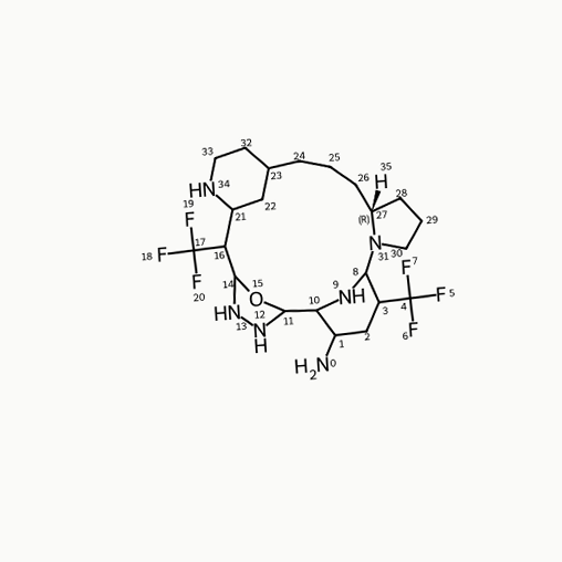 NC1CC(C(F)(F)F)C2NC1C1NNC(O1)C(C(F)(F)F)C1CC(CCC[C@@H]3CCCN23)CCN1